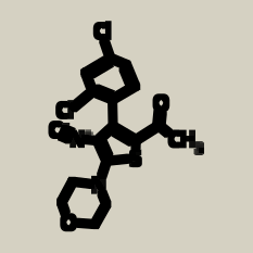 [C-]#[N+]c1c(N2CCOCC2)sc(C(C)=O)c1-c1ccc(Cl)cc1Cl